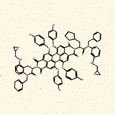 CC(C)c1ccc(Oc2cc3c4c(cc(Oc5ccc(C(C)C)cc5)c5c6c(Oc7ccc(C(C)C)cc7)cc7c8c(cc(Oc9ccc(C(C)C)cc9)c(c2c45)c86)C(=O)N(C(CC2CCCC2)C(=O)N(Cc2ccccc2)c2cc(NCC4CO4)ccn2)C7=O)C(=O)N(C(CC2CCCC2)C(=O)N(CC2=CCCC=C2)c2cc(NCC4CO4)ccn2)C3=O)cc1